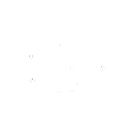 COC[PH](=O)OC(C(=O)OC)C(=O)OC